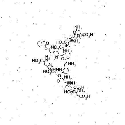 CC(C)C[C@H](N)C(=O)OC[C@H](N)C(=O)O.CC(C)[C@H](N)C(=O)O.CC[C@H](C)[C@H](N)C(=O)O.C[C@@H](O)[C@H](N)C(=O)O.C[C@H](N)C(=O)O.NC(=O)C[C@H](N)C(=O)O.N[C@@H](CC(=O)O)C(=O)O.N[C@@H](Cc1c[nH]cn1)C(=O)O.N[C@@H](Cc1ccccc1)C(=O)OC(=O)[C@@H](N)Cc1ccc(OC(=O)[C@@H]2CCCN2)cc1